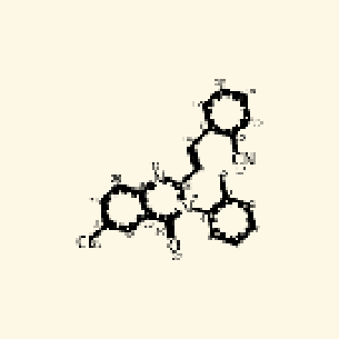 Cc1ccccc1-n1c(/C=C/c2ccccc2C#N)nc2ccc(Cl)cc2c1=O